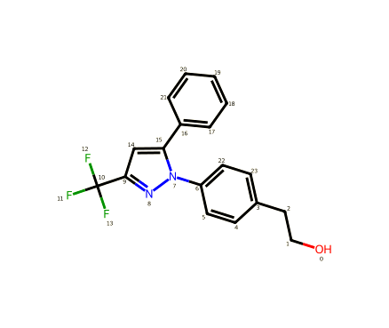 OCCc1ccc(-n2nc(C(F)(F)F)cc2-c2ccccc2)cc1